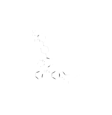 CCOC(=O)c1cc2cc(NC(=O)[C@@H]3[C@H](c4ccccc4)CCN3C(=O)C3CCC([C@@H](CF)NC(=O)OC(C)(C)C)CC3)ccc2n1C